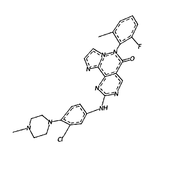 Cc1cccc(F)c1-n1c(=O)c2cnc(Nc3ccc(N4CCN(C)CC4)c(Cl)c3)nc2c2nccn21